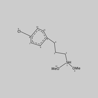 CO[SiH](CCCc1ccc(Cl)cc1)OC